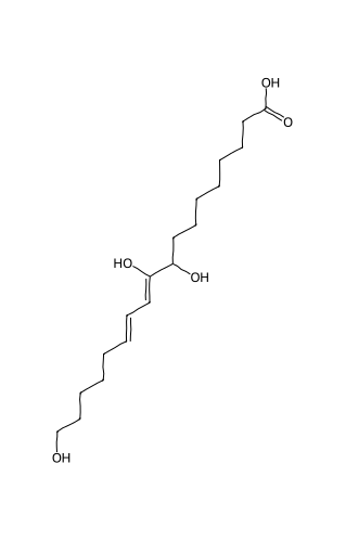 O=C(O)CCCCCCCC(O)C(O)=CC=CCCCCCO